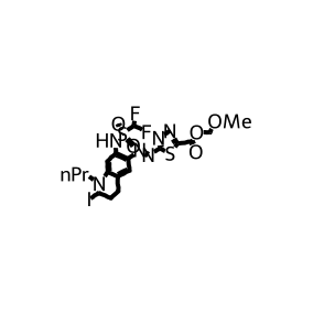 CCCN1c2cc(NS(=O)(=O)C(F)F)c(N=Nc3nnc(C(=O)OCOC)s3)cc2CCC1I